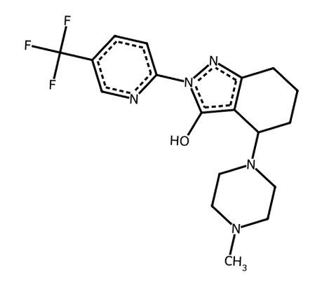 CN1CCN(C2CCCc3nn(-c4ccc(C(F)(F)F)cn4)c(O)c32)CC1